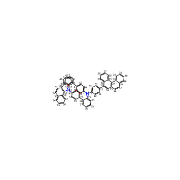 c1ccc(-c2ccc(N(c3ccc(-c4cc5ccc6ccccc6c5c5ccccc45)cc3)c3ccccc3-c3ccc(-n4c5ccccc5c5ccc6ccccc6c54)cc3)cc2)cc1